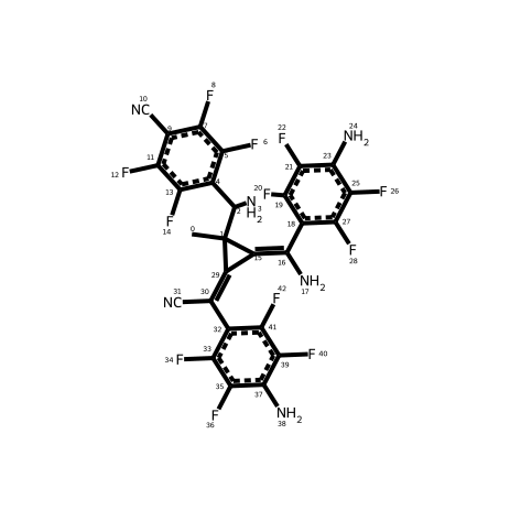 CC1(C(N)c2c(F)c(F)c(C#N)c(F)c2F)C(=C(/N)c2c(F)c(F)c(N)c(F)c2F)/C1=C(/C#N)c1c(F)c(F)c(N)c(F)c1F